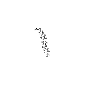 COc1ccc(-c2ccc(-c3ccc(OC(=O)c4ccc(C5CO5)c(F)c4)cc3)c(F)c2F)cc1